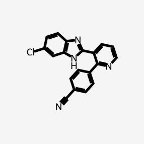 N#Cc1ccc(-c2ncccc2-c2nc3ccc(Cl)cc3[nH]2)cc1